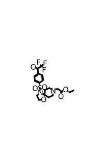 CCOC(=O)CN1CCC2(CC1)OCCN2S(=O)(=O)c1ccc(C(=O)C(F)(F)F)cc1